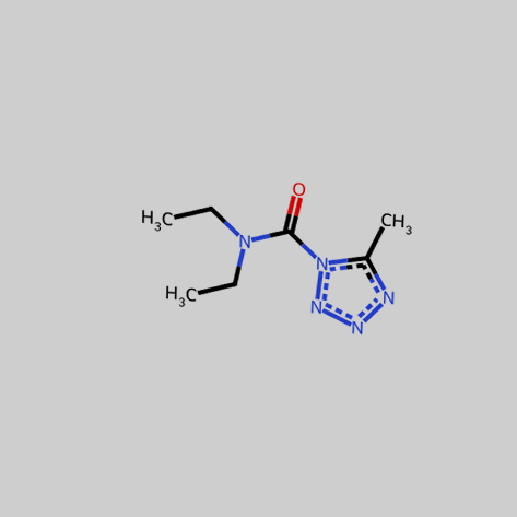 CCN(CC)C(=O)n1nnnc1C